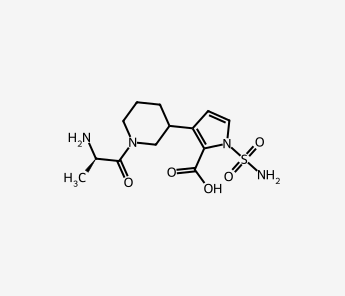 C[C@@H](N)C(=O)N1CCCC(c2ccn(S(N)(=O)=O)c2C(=O)O)C1